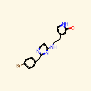 O=c1cc(CCNc2ccnc(Cc3ccc(Br)cc3)n2)cc[nH]1